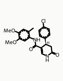 COc1cc(C)c(NC(=O)C2=CNC(=O)C[C@@H]2c2ccc(Cl)cc2)cc1OC